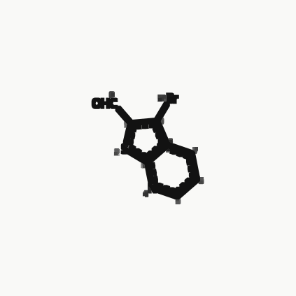 O=Cc1sc2ncccc2c1Br